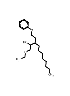 CCCCCCCCC(CCOc1ccccc1)C(O)COCC